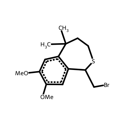 COc1cc2c(cc1OC)C(C)(C)CCSC2CBr